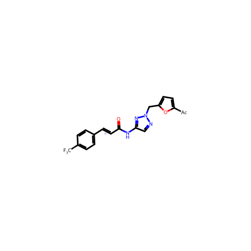 CC(=O)c1ccc(Cn2ncc(NC(=O)/C=C/c3ccc(C(F)(F)F)cc3)n2)o1